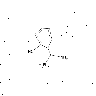 N#Cc1ccccc1C(N)N